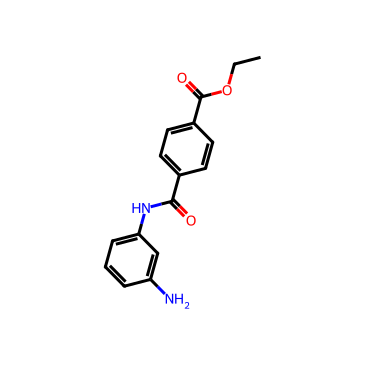 CCOC(=O)c1ccc(C(=O)Nc2cccc(N)c2)cc1